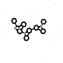 c1ccc(-c2nc3ccc(-n4c5ccccc5c5cc(-c6ccc7c(c6)c6ccccc6n7-c6ccccc6)ccc54)c4c5ccccc5c2n34)cc1